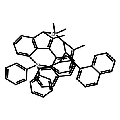 CC1=C(c2cccc3ccccc23)c2c3cccc2[Si](c2ccccc2)(c2ccccc2)c2cccc4c2C(c2cccc5ccccc25)=C(C)[CH]4[Zr]([CH3])([CH3])[CH]13